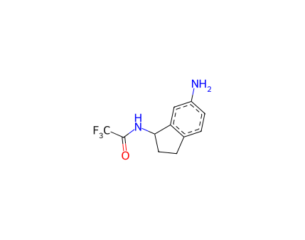 Nc1ccc2c(c1)C(NC(=O)C(F)(F)F)CC2